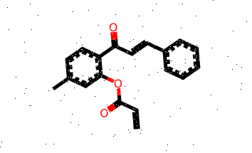 C=CC(=O)Oc1cc(C)ccc1C(=O)C=Cc1ccccc1